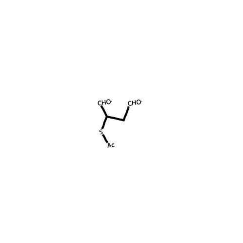 CC(=O)SC([C]=O)C[C]=O